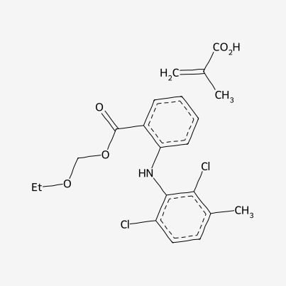 C=C(C)C(=O)O.CCOCOC(=O)c1ccccc1Nc1c(Cl)ccc(C)c1Cl